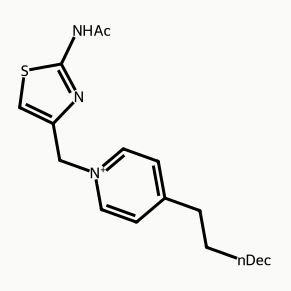 CCCCCCCCCCCCc1cc[n+](Cc2csc(NC(C)=O)n2)cc1